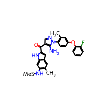 CSNc1cc2[nH]c(C(=O)c3cnn(-c4ccc(Oc5ccccc5F)cc4C)c3N)cc2cc1C